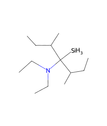 CCC(C)C([SiH3])(C(C)CC)N(CC)CC